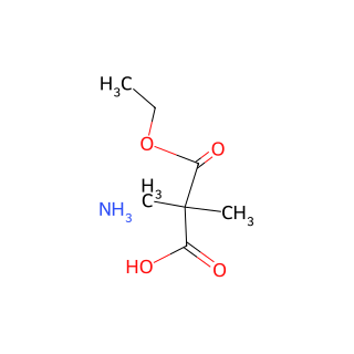 CCOC(=O)C(C)(C)C(=O)O.N